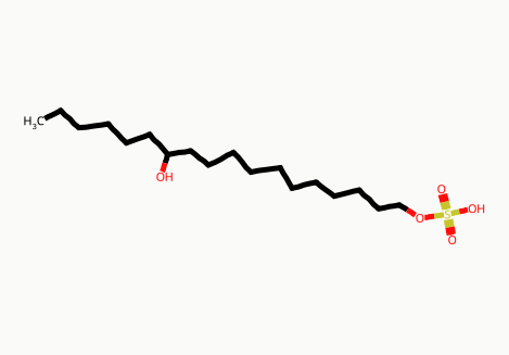 CCCCCCC(O)CCCCCCCCCCCOS(=O)(=O)O